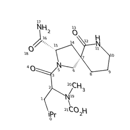 CC(C)CC(C(=O)N1C[C@]2(CCCNC2=O)C[C@H]1C(N)=O)N(C)C(=O)O